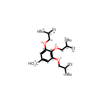 CCCCC(CC)COc1cc(C(=O)O)cc(OCC(CC)CCCC)c1OCC(CC)CCCC